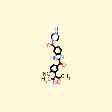 Cc1noc(C)c1-c1cc(C(=O)c2nc3ccc(C(=O)N4CCNCC4)cc3[nH]2)ccc1C#N